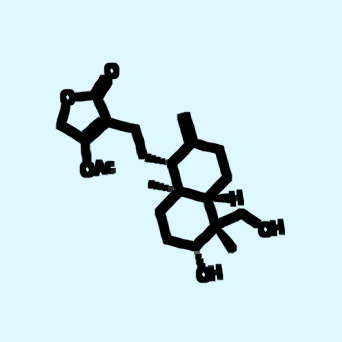 C=C1CC[C@@H]2[C@](C)(CO)[C@H](O)CC[C@@]2(C)[C@@H]1CCC1=C(OC(C)=O)COC1=O